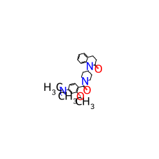 COc1cc(N(C)C)ccc1C(=O)N1CCC(N2C(=O)CCc3ccccc32)CC1